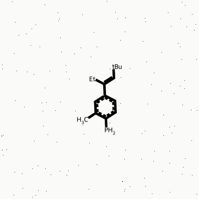 CC/C(=C\C(C)(C)C)c1ccc(P)c(C)c1